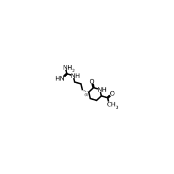 CC(=O)C1CC[C@H](CCCNC(=N)N)C(=O)N1